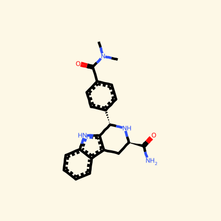 CN(C)C(=O)c1ccc([C@@H]2N[C@@H](C(N)=O)Cc3c2[nH]c2ccccc32)cc1